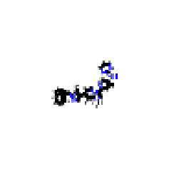 Cc1cc(-c2cnc3c(C(=O)O)c(-c4cnn(CC56CC7CC(CC(C7)C5)C6)c4C)ccn23)ncc1Nc1ncccn1